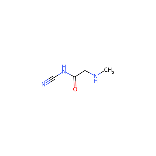 CNCC(=O)NC#N